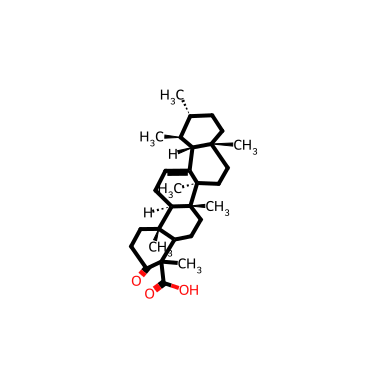 C[C@H]1[C@H](C)CC[C@]2(C)CC[C@]3(C)C(=CC[C@@H]4[C@@]5(C)CCC(=O)C(C)(C(=O)O)C5CC[C@]43C)[C@H]12